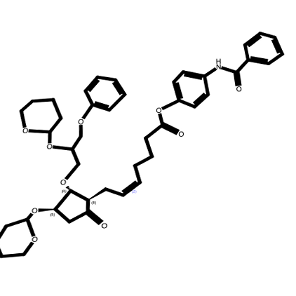 O=C(CCC/C=C\C[C@H]1C(=O)C[C@@H](OC2CCCCO2)[C@@H]1OCC(COc1ccccc1)OC1CCCCO1)Oc1ccc(NC(=O)c2ccccc2)cc1